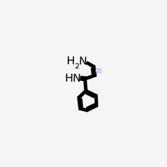 N=C(/C=C\N)c1ccccc1